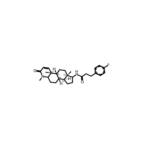 CN1C(=O)C=C[C@@]2(C)C1CC[C@@H]1[C@H]2CC[C@]2(C)C(NC(=O)CCc3ccc(F)cc3)CC[C@@H]12